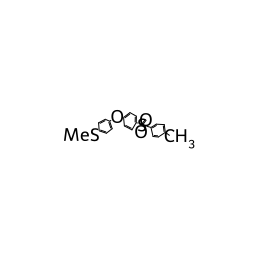 CSc1ccc(Oc2ccc(S(=O)(=O)c3ccc(C)cc3)cc2)cc1